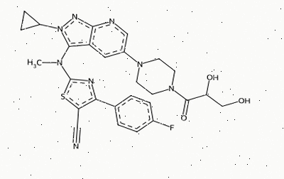 CN(c1nc(-c2ccc(F)cc2)c(C#N)s1)c1c2cc(N3CCN(C(=O)C(O)CO)CC3)cnc2nn1C1CC1